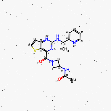 C[C@H](Nc1nc(C(=O)N2CC(NC(=O)C(C)(C)C)C2)c2sccc2n1)c1ccccn1